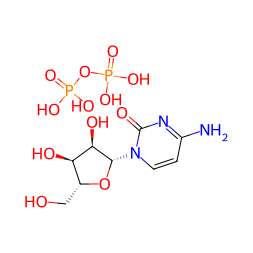 Nc1ccn([C@@H]2O[C@H](CO)[C@@H](O)[C@H]2O)c(=O)n1.O=P(O)(O)OP(=O)(O)O